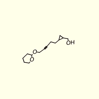 OCC1CC1CCC#CCOC1CCCCO1